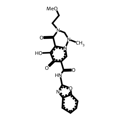 COCCN1CN(C)n2cc(C(=O)Nc3nc4ccccc4o3)c(=O)c(O)c2C1=O